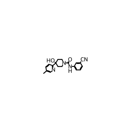 Cc1ccc(C2(O)CCN(C(=O)Nc3cccc(C#N)c3)CC2)nc1